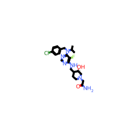 CC(C)N(Cc1ccc(Cl)cc1)c1ncnc(NCC2CCN(CC(N)=O)C[C@H]2O)c1F